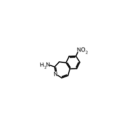 NC1=NC=Cc2ccc([N+](=O)[O-])cc2C1